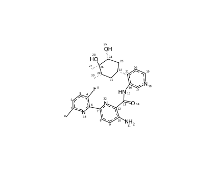 Cc1ccc(F)c(-c2ccc(N)c(C(=O)Nc3cnccc3[C@H]3C[C@@H](O)[C@](C)(O)[C@@H](C)C3)n2)n1